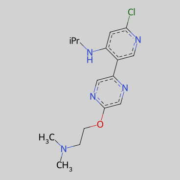 CC(C)Nc1cc(Cl)ncc1-c1cnc(OCCN(C)C)cn1